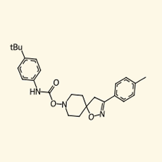 Cc1ccc(C2=NOC3(CCN(OC(=O)Nc4ccc(C(C)(C)C)cc4)CC3)C2)cc1